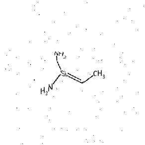 CC=[Si](N)N